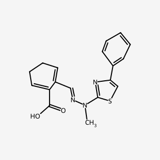 CN(/N=C/C1=CCCC=C1C(=O)O)c1nc(-c2ccccc2)cs1